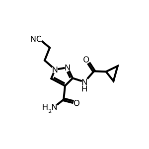 N#CCCn1cc(C(N)=O)c(NC(=O)C2CC2)n1